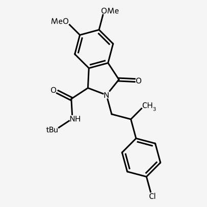 COc1cc2c(cc1OC)C(C(=O)NC(C)(C)C)N(CC(C)c1ccc(Cl)cc1)C2=O